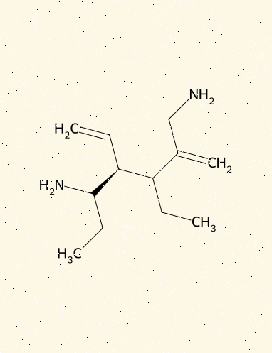 C=C[C@H](C(N)CC)C(CC)C(=C)CN